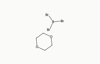 BrB(Br)Br.C1COCCO1